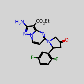 CCOC(=O)c1c(N)nn2ccc(N3CC(=O)CC3c3cc(F)ccc3F)nc12